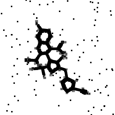 Cc1c(-c2c(C(N)=O)nc3cc(F)ccc3c2C(N)=O)c(C(F)(F)F)nn1Cc1cccc(C#N)n1